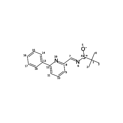 CC(C)(C)[S+]([O-])N=Cc1cccc(-c2ccccc2)n1